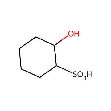 O=S(=O)(O)C1CCCCC1O